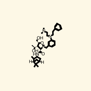 CC1C(NC(=O)[C@@H]2[C@H]([C@H](C)O)[C@H](CO)ON2Cc2cccc(N(CCc3ccccc3)CCN(C)C)c2)C[C@H]2C[C@@H]1C2(C)C